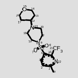 Cc1ccc(S(=O)(=O)N2CCN(C3CCOCC3)CC2)c(C(F)(F)F)n1